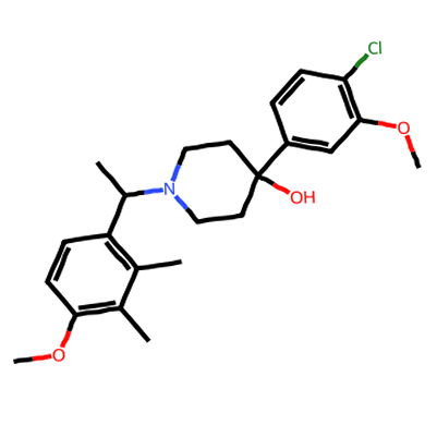 COc1cc(C2(O)CCN(C(C)c3ccc(OC)c(C)c3C)CC2)ccc1Cl